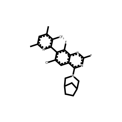 Cc1cc(C)c(C(F)(F)F)c(-c2c(Cl)cc3c(N4CC5CCC(C5)C4)nc(F)nc3c2F)n1